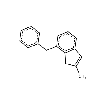 CC1=Cc2cccc(Cc3ccccc3)c2C1